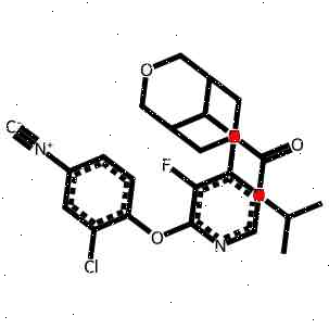 [C-]#[N+]c1ccc(Oc2ncnc(OC3C4COCC3CN(C(=O)OC(C)C)C4)c2F)c(Cl)c1